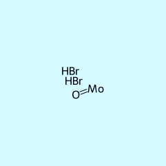 Br.Br.[O]=[Mo]